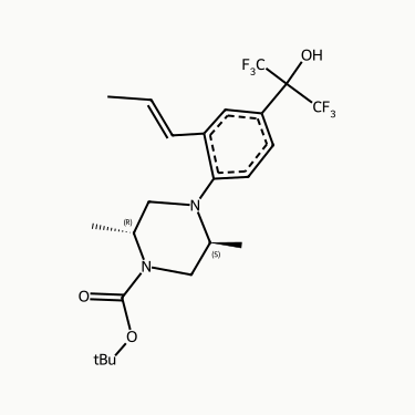 CC=Cc1cc(C(O)(C(F)(F)F)C(F)(F)F)ccc1N1C[C@@H](C)N(C(=O)OC(C)(C)C)C[C@@H]1C